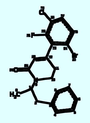 CC(Cc1ccccc1)N1CCC(c2c(Br)ccc(Cl)c2F)=CC1=O